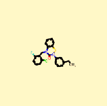 CCc1cccc(N2Sc3ccccc3N(Cc3c(F)cccc3Cl)C2=O)c1